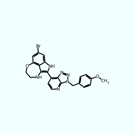 COc1ccc(Cn2nnc3c(-c4[nH]c5cc(Br)cc6c5c4NCCO6)ccnc32)cc1